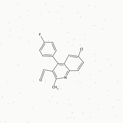 Cc1nc2ccc(Cl)cc2c(-c2ccc(F)cc2)c1C=O